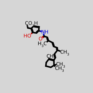 CC1=C(/C=C/C(C)=C\C=C\C(C)=C\C(=O)Nc2ccc(CC(=O)O)c(O)c2)C(C)(C)CCC1